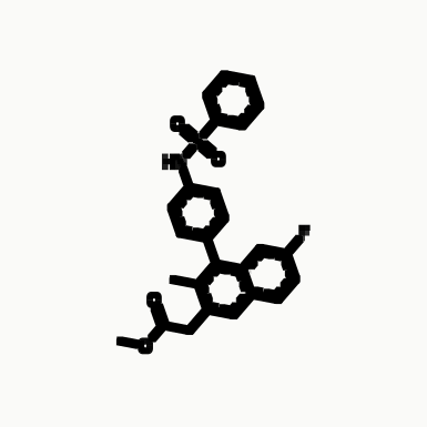 COC(=O)Cc1cc2ccc(F)cc2c(-c2ccc(NS(=O)(=O)c3ccccc3)cc2)c1C